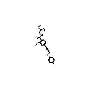 COC(=O)CNC(=O)c1ncc(C#CCOc2ccc(F)cc2)cc1OC